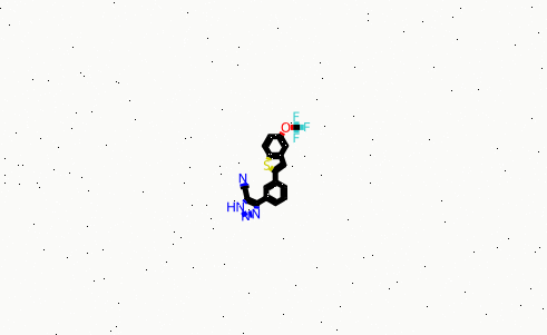 N#Cc1[nH]nnc1-c1cccc(-c2cc3cc(OC(F)(F)F)ccc3s2)c1